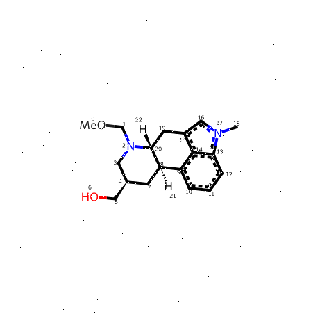 COCN1C[C@H](CO)C[C@@H]2c3cccc4c3c(cn4C)C[C@H]21